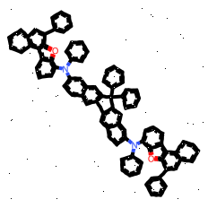 c1ccc(-c2cc3ccccc3c3c2oc2c(N(c4ccccc4)c4ccc5cc6c(cc5c4)C(c4ccccc4)(c4ccccc4)c4cc5cc(N(c7ccccc7)c7cccc8c7oc7c(-c9ccccc9)cc9ccccc9c78)ccc5cc4-6)cccc23)cc1